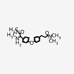 CN(C)C(=O)CCc1ccc(Oc2ccc(C(N)C(=O)N(C)C)cc2)cc1